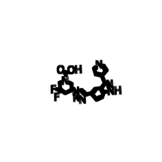 O=C(O)N1C[C@H](n2cc(-c3ccc4[nH]nc(-c5ccncc5)c4c3)nn2)CC(F)(F)C1